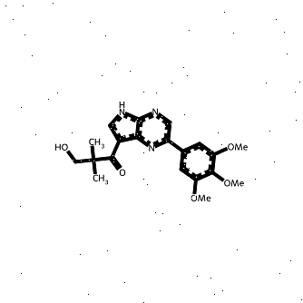 COc1cc(-c2cnc3[nH]cc(C(=O)C(C)(C)CO)c3n2)cc(OC)c1OC